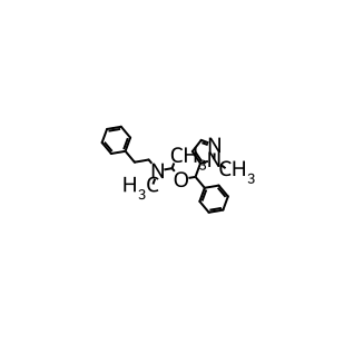 CC(OC(c1ccccc1)c1ccnn1C)N(C)CCc1ccccc1